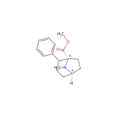 COC(=O)[C@@]12CC[C@@H](CCC1c1ccccc1)N2C